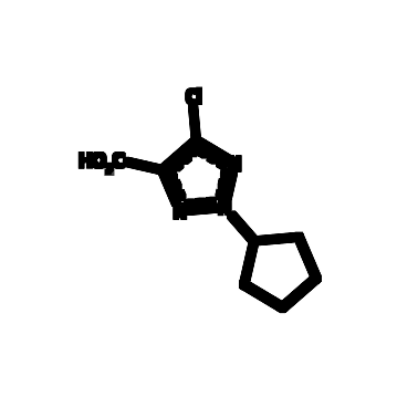 O=C(O)c1nn(C2CCCC2)nc1Cl